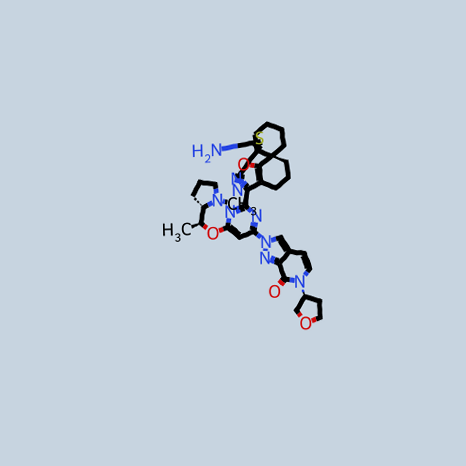 C[C@H](Oc1cc(-n2cc3ccn([C@@H]4CCOC4)c(=O)c3n2)nc(-c2noc3c2CCC[C@@]32CCCc3sc(N)c(C#N)c32)n1)[C@@H]1CCCN1C